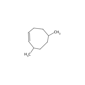 CC1C=CCCC(C)CC1